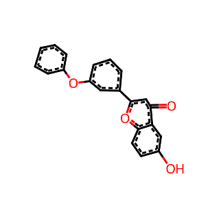 O=c1cc(-c2cccc(Oc3ccccc3)c2)oc2ccc(O)cc12